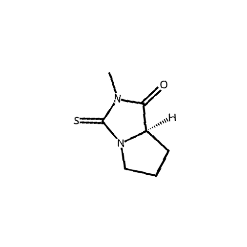 CN1C(=O)[C@H]2CCCN2C1=S